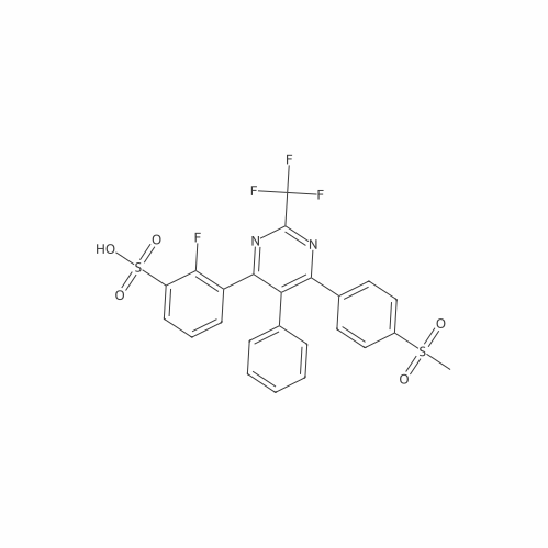 CS(=O)(=O)c1ccc(-c2nc(C(F)(F)F)nc(-c3cccc(S(=O)(=O)O)c3F)c2-c2ccccc2)cc1